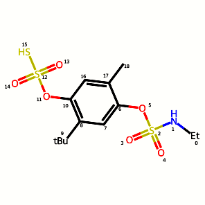 CCNS(=O)(=O)Oc1cc(C(C)(C)C)c(OS(=O)(=O)S)cc1C